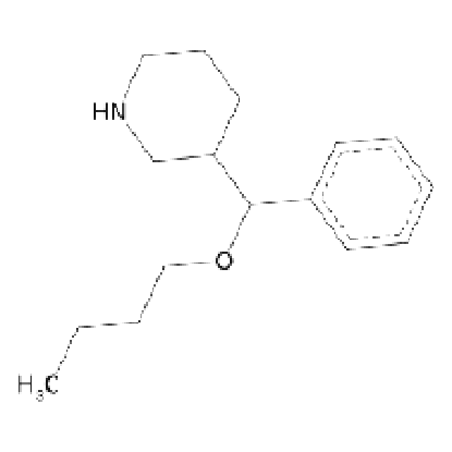 CCCCOC(c1ccccc1)C1CCCNC1